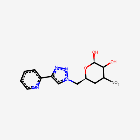 O=[N+]([O-])C1C[C@@H](Cn2cc(-c3ccccn3)nn2)O[C@@H](O)C1O